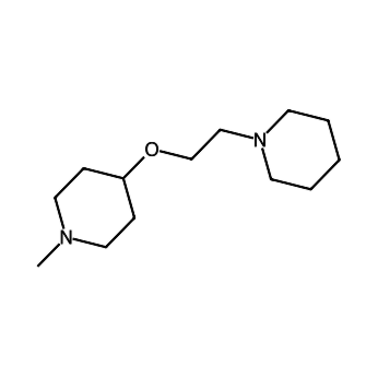 CN1CCC(OCCN2CCCCC2)CC1